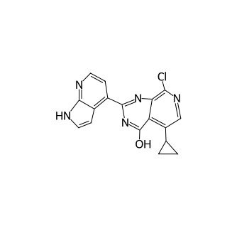 Oc1nc(-c2ccnc3[nH]ccc23)nc2c(Cl)ncc(C3CC3)c12